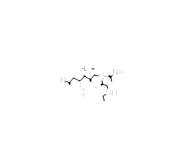 CCN[C@@H](CC(N)=O)C(=O)N[C@@H](CO)C(=O)C(=O)[C@@H](N)CC(N)=O